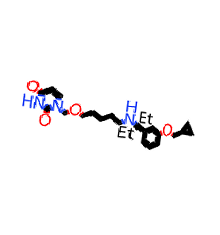 CCC(CC)(NCCCCCOCn1ccc(=O)[nH]c1=O)c1cccc(OCC2CC2)c1